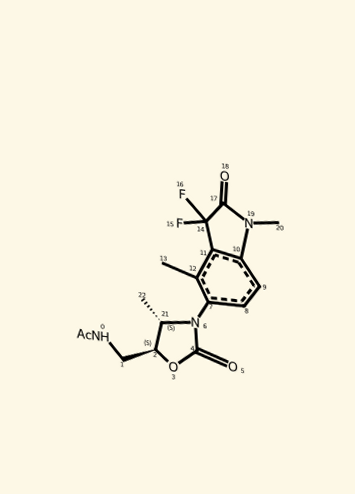 CC(=O)NC[C@@H]1OC(=O)N(c2ccc3c(c2C)C(F)(F)C(=O)N3C)[C@H]1C